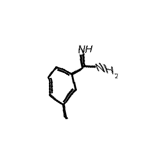 Cc1cccc(C(=N)N)c1